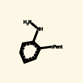 CCCCCc1ccccc1NN